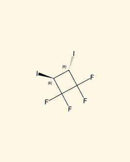 FC1(F)[C@@H](I)[C@H](I)C1(F)F